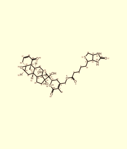 CC1=C(COC(=O)CCCCC2SCC3NC(=O)NC32)C[C@H](C(C)(O)[C@]2(O)CC[C@@]3(O)[C@@H]4C[C@H]5O[C@]56CC=CC(=O)[C@]6(C)[C@H]4CC[C@@]32C)OC1=O